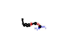 CC(C)=CCCCC(C)C1CCC2C3CC=C4C(C)(C)C(OC(=O)/C=C/c5ccc(OCOc6cc(N)cc(N)c6)cc5)CCC4(C)C3CCC12C